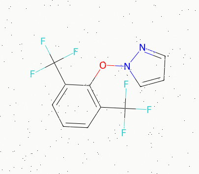 FC(F)(F)c1cccc(C(F)(F)F)c1On1cc[c]n1